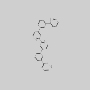 c1ccc(-c2cccc(-c3ccnc(-c4cc(-c5cccc(-c6cccnc6)c5)ccn4)c3)c2)nc1